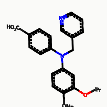 COc1ccc(N(Cc2cccnc2)c2ccc(C(=O)O)cc2)cc1OC(C)C